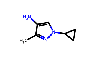 Cc1nn(C2CC2)cc1N